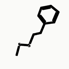 CSSCCc1ccccc1